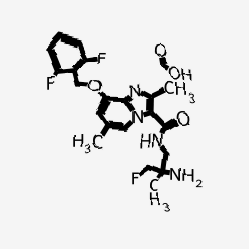 Cc1cc(OCc2c(F)cccc2F)c2nc(C)c(C(=O)NCC(C)(N)CF)n2c1.O=CO